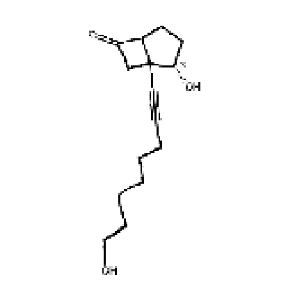 O=C1CC2(C#CCCCCCCO)C1CC[C@@H]2O